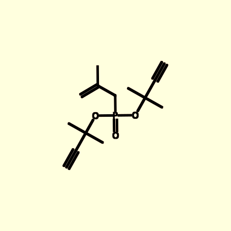 C#CC(C)(C)OP(=O)(CC(=C)C)OC(C)(C)C#C